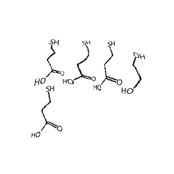 O=C(O)CCS.O=C(O)CCS.O=C(O)CCS.O=C(O)CCS.OCCO